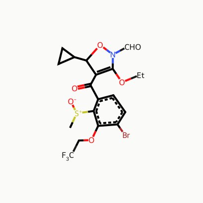 CCOC1=C(C(=O)c2ccc(Br)c(OCC(F)(F)F)c2[S+](C)[O-])C(C2CC2)ON1C=O